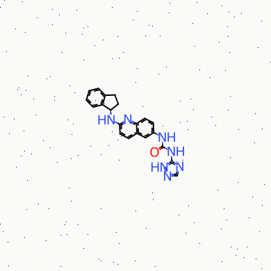 O=C(Nc1ccc2nc(N[C@@H]3CCc4ccccc43)ccc2c1)Nc1ncn[nH]1